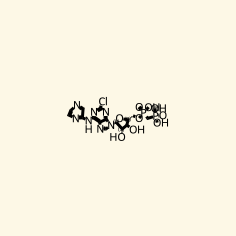 O=P(O)(O)CP(=O)(O)OC[C@H]1O[C@@H](n2cnc3c(Nc4cnccn4)nc(Cl)nc32)[C@@H](O)C1O